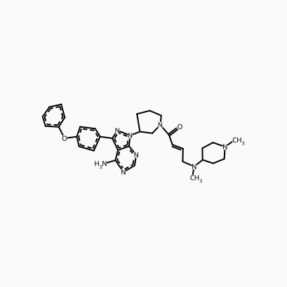 CN1CCC(N(C)CC=CC(=O)N2CCCC(n3nc(-c4ccc(Oc5ccccc5)cc4)c4c(N)ncnc43)C2)CC1